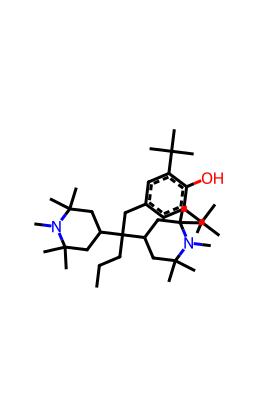 CCCC(Cc1cc(C(C)(C)C)c(O)c(C(C)(C)C)c1)(C1CC(C)(C)N(C)C(C)(C)C1)C1CC(C)(C)N(C)C(C)(C)C1